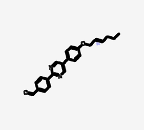 CCC/C=C/COc1ccc(-c2cnc(-c3ccc(C=O)cc3)nc2)cc1